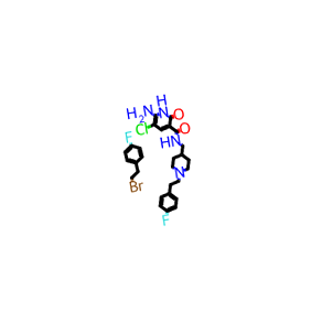 Fc1ccc(CCBr)cc1.Nc1[nH]c(=O)c(C(=O)NCC2CCN(CCc3ccc(F)cc3)CC2)cc1Cl